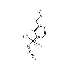 CC(C)CCc1cccc(C(C)(C)N=C=O)c1